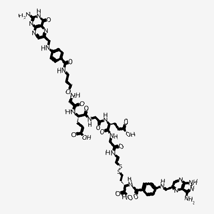 Nc1nc2ncc(CNc3ccc(C(=O)NCCCONCC(=O)N[C@@H](CCC(=O)O)C(=O)NCC(=O)N[C@@H](CCC(=O)O)C(=O)NCC(=O)NCCSSCC[C@H](NC(=O)c4ccc(NCc5cnc6[nH]nc(N)c6n5)cc4)C(=O)O)cc3)nc2c(=O)[nH]1